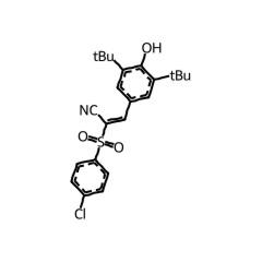 CC(C)(C)c1cc(/C=C(\C#N)S(=O)(=O)c2ccc(Cl)cc2)cc(C(C)(C)C)c1O